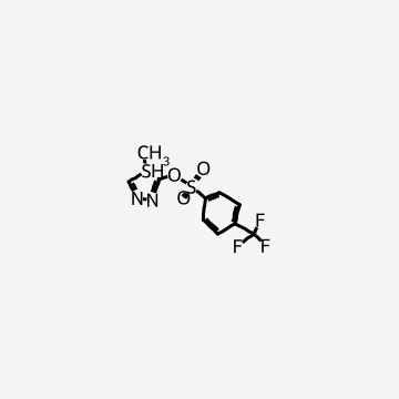 C[SH]1C=NN=C1OS(=O)(=O)c1ccc(C(F)(F)F)cc1